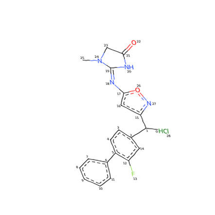 CC(c1ccc(-c2ccccc2)c(F)c1)c1cc(/N=C2\NC(=O)CN2C)on1.Cl